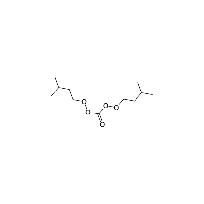 CC(C)CCOOC(=O)OOCCC(C)C